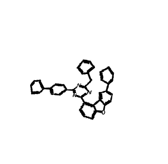 c1ccc(Cc2nc(-c3ccc(-c4ccccc4)cc3)nc(-c3cccc4oc5ccc(-c6ccccc6)cc5c34)n2)cc1